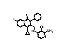 N#Cc1c(N)ncnc1NCc1c(-c2ccccc2)c(=O)n2cc(F)ccc2c1C1CC1